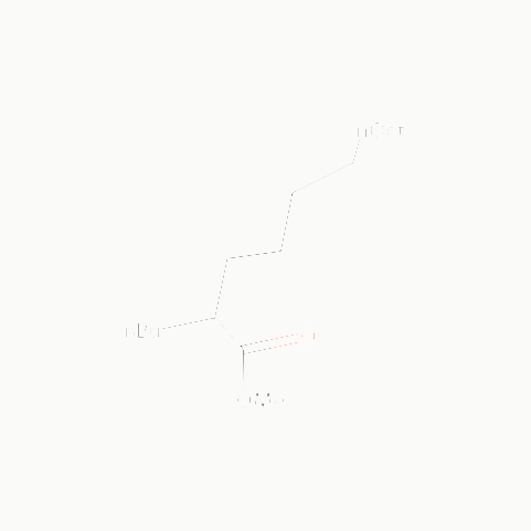 CCCCCCCCCCCCC(CCCC)C(=O)OC